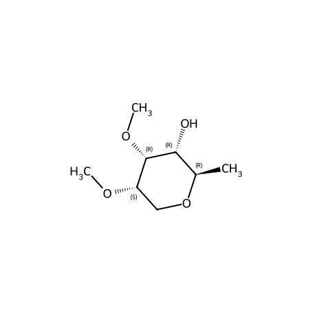 CO[C@@H]1[C@H](O)[C@@H](C)OC[C@@H]1OC